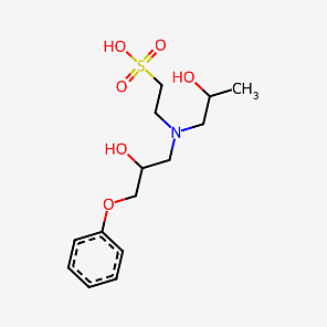 CC(O)CN(CCS(=O)(=O)O)CC(O)COc1ccccc1